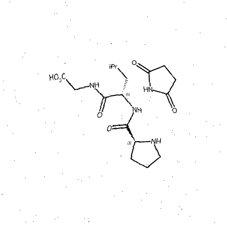 CC(C)C[C@H](NC(=O)[C@@H]1CCCN1)C(=O)NCC(=O)O.O=C1CCC(=O)N1